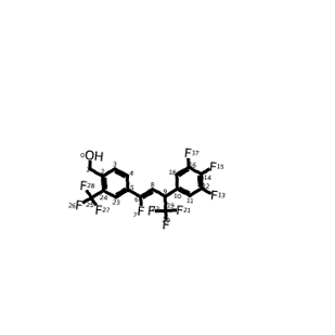 OCc1ccc(/C(F)=C/C(c2cc(F)c(F)c(F)c2)C(F)(F)F)cc1C(F)(F)F